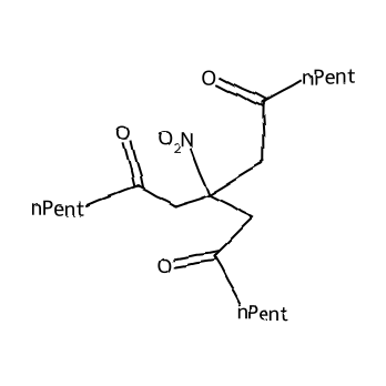 CCCCCC(=O)CC(CC(=O)CCCCC)(CC(=O)CCCCC)[N+](=O)[O-]